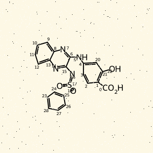 O=C(O)c1ccc(Nc2nc3ccccc3nc2N=S(=O)=O)cc1O.c1ccccc1